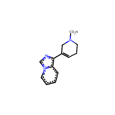 O=C(O)N1CCC=C(c2ncn3ccccc23)C1